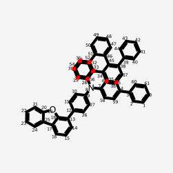 c1ccc(-c2ccc(N(c3ccc(-c4cccc5c4oc4ccccc45)cc3)c3ccccc3-c3cccc(-c4ccccc4)c3-c3ccccc3-c3ccccc3)cc2)cc1